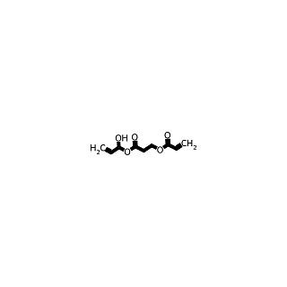 C=CC(=O)OCCC(=O)OC(O)C=C